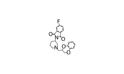 O=C1c2ccc(F)cc2C(=O)N1C1CCCN(CC2COc3ccccc3O2)C1